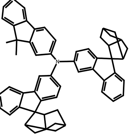 CC1(C)c2ccccc2-c2ccc(N(c3ccc4c(c3)-c3ccccc3C43C4CC5CC(C4)C3C5)c3ccc4c(c3)-c3ccccc3C43C4CC5CC(C4)C3C5)cc21